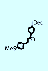 CCCCCCCCCCc1ccc(C(=O)/C=C/c2ccc(SC)cc2)cc1